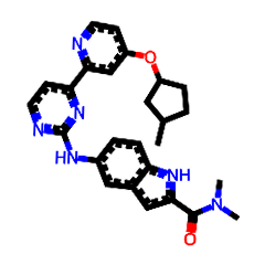 CC1CCC(Oc2ccnc(-c3ccnc(Nc4ccc5[nH]c(C(=O)N(C)C)cc5c4)n3)c2)C1